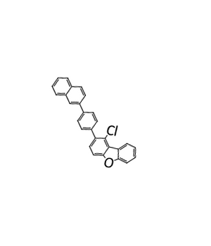 Clc1c(-c2ccc(-c3ccc4ccccc4c3)cc2)ccc2oc3ccccc3c12